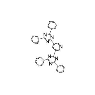 c1ccc(-c2nc(-c3ccccc3)nc(-c3cncc(-c4nc(-c5ccccc5)nc(-c5ccccc5)n4)c3)n2)cc1